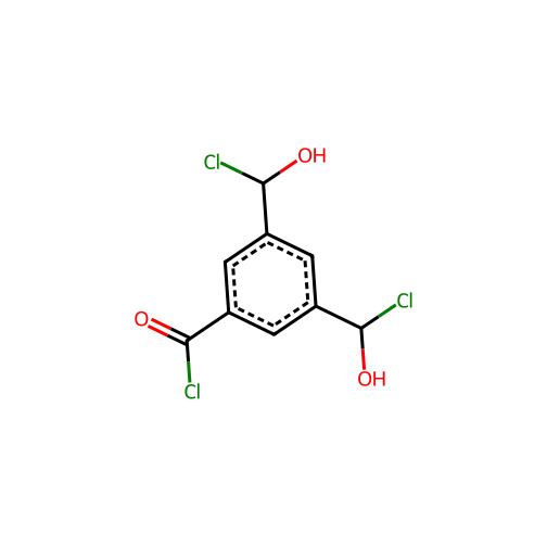 O=C(Cl)c1cc(C(O)Cl)cc(C(O)Cl)c1